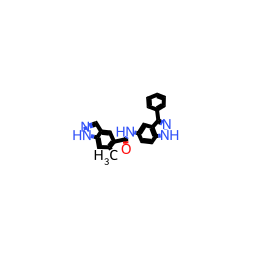 Cc1cc2[nH]ncc2cc1C(=O)Nc1ccc2[nH]nc(-c3ccccc3)c2c1